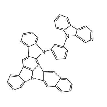 c1cc(-n2c3ccccc3c3ccncc32)cc(-n2c3ccccc3c3cc4c5ccccc5n5c6cc7ccccc7cc6c(c32)c45)c1